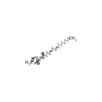 CCCCCCCCC=CCCCCCCCC(=O)OCCN1CCN=C(C)CC1=O